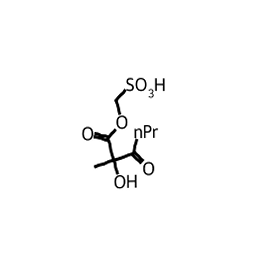 CCCC(=O)C(C)(O)C(=O)OCS(=O)(=O)O